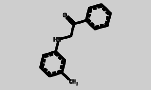 Cc1cccc(NCC(=O)c2ccccc2)c1